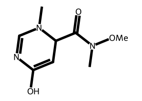 CON(C)C(=O)C1C=C(O)N=CN1C